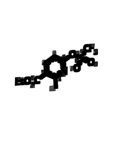 CCOC(=O)c1ccc(OS(=O)(=O)C(F)(F)F)nc1C